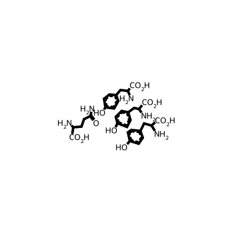 NC(=O)CCC(N)C(=O)O.NC(Cc1ccc(O)cc1)C(=O)O.NC(Cc1ccc(O)cc1)C(=O)O.NC(Cc1ccc(O)cc1)C(=O)O